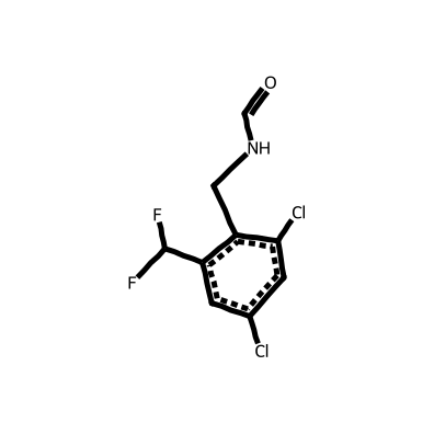 O=CNCc1c(Cl)cc(Cl)cc1C(F)F